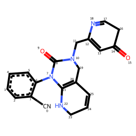 N#Cc1ccccc1N1C(=O)N(CC2=CC(=O)CC=N2)CC2=C1NCC=C2